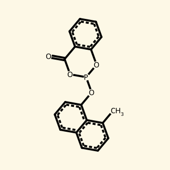 Cc1cccc2cccc(OP3OC(=O)c4ccccc4O3)c12